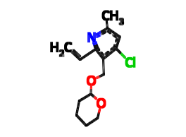 C=Cc1nc(C)cc(Cl)c1COC1CCCCO1